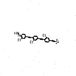 CCc1cc(C#C[Si](C)(C)C)ccc1C#Cc1ccc(C#Cc2ccc(N=N)c(CC)c2)c(CC)c1